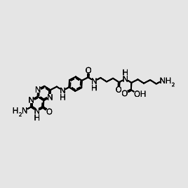 NCCCCC(NC(=O)CCCNC(=O)c1ccc(NCc2cnc3nc(N)[nH]c(=O)c3n2)cc1)C(=O)O